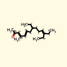 CCC(=CCCC(CC)CC=CC(C)=CC(C)=O)CC